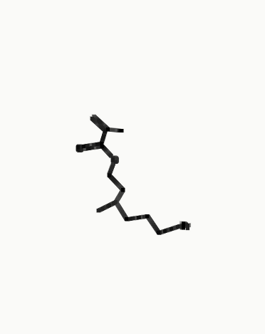 C=C(C)C(=O)OCCC(C)CCCC(C)C